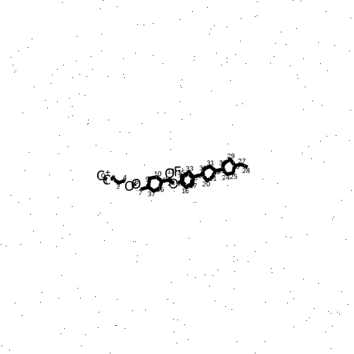 [CH2+][CH-]CCCOOCC1CCC(C(=O)Oc2ccc(C3CCC(C4CCC(CC)CC4)CC3)cc2F)CC1